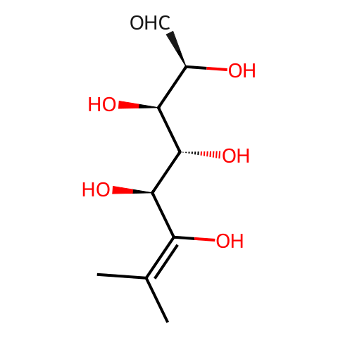 CC(C)=C(O)[C@@H](O)[C@@H](O)[C@@H](O)[C@H](O)C=O